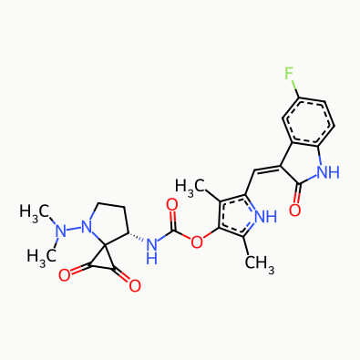 Cc1[nH]c(/C=C2\C(=O)Nc3ccc(F)cc32)c(C)c1OC(=O)N[C@H]1CCN(N(C)C)C12C(=O)C2=O